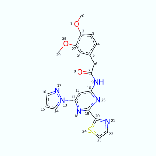 COc1ccc(CC(=O)Nc2cc(-n3cccn3)nc(-c3nccs3)n2)cc1OC